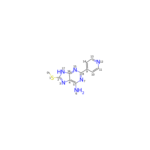 CSc1nc2c(N)nc(-c3ccncc3)nc2[nH]1